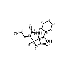 CC12OC(=O)C1(C(O)C1CCCCC1)NC(=O)C2CCCl